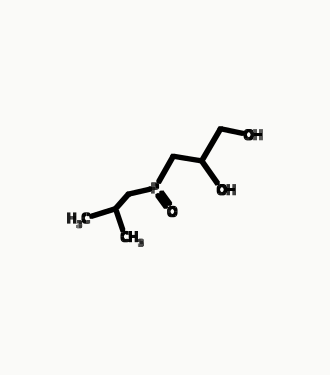 CC(C)C[P](=O)CC(O)CO